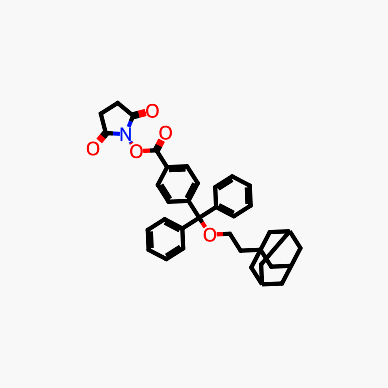 O=C(ON1C(=O)CCC1=O)c1ccc(C(OCCC23CC4CC(CC(C4)C2)C3)(c2ccccc2)c2ccccc2)cc1